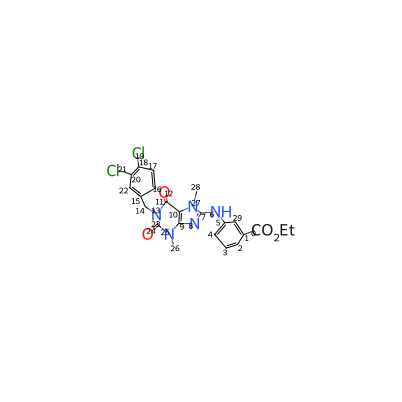 CCOC(=O)c1cccc(Nc2nc3c(c(=O)n(Cc4ccc(Cl)c(Cl)c4)c(=O)n3C)n2C)c1